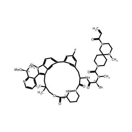 C=CC(=O)N1CCN(C)C2(CCN(C(=O)N(C)[C@H](C(=O)NC3Cc4cc(F)cc(c4)-c4ccc5c(c4)c(c(-c4cccnc4[C@H](C)OC)n5CC)CC(C)(C)COC(=O)[C@@H]4CCCN(N4)C3=O)C(C)C)CC2)C1